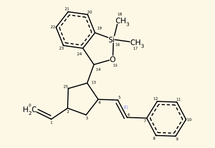 C=CC1CC(/C=C/c2ccccc2)C(C2O[Si](C)(C)c3ccccc32)C1